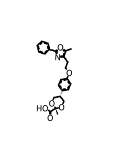 Cc1oc(-c2ccccc2)nc1CCOc1ccc([C@H]2CO[C@@](C)(C(=O)O)OC2)cc1